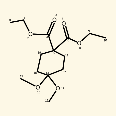 CCOC(=O)C1(C(=O)OCC)CCC(OC)(OC)CC1